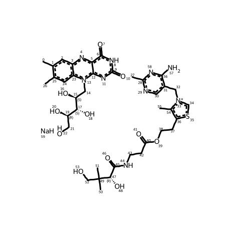 Cc1cc2nc3c(=O)[nH]c(=O)nc-3n(C[C@H](O)[C@H](O)[C@H](O)CO)c2cc1C.Cc1ncc(C[n+]2csc(CCOC(=O)CCNC(=O)[C@H](O)C(C)(C)CO)c2C)c(N)n1.[NaH]